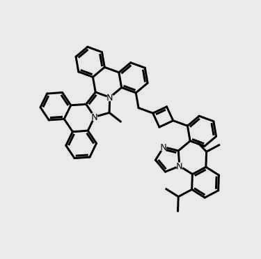 CC(C)c1cccc(C(C)C)c1-n1ccnc1-c1ccccc1C1C=C(Cc2cccc3c2N2C(=C4c5ccccc5-c5ccccc5N4C2C)c2ccccc2-3)C1